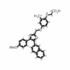 COc1ccc(-c2nc(COc3ccc(OCC(=O)O)c(C)c3)oc2-c2ccc3ccccc3c2)cc1